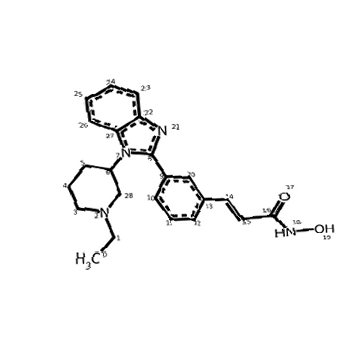 CCN1CCCC(n2c(-c3cccc(C=CC(=O)NO)c3)nc3ccccc32)C1